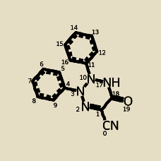 N#CC1=NN(c2ccccc2)N(c2ccccc2)NC1=O